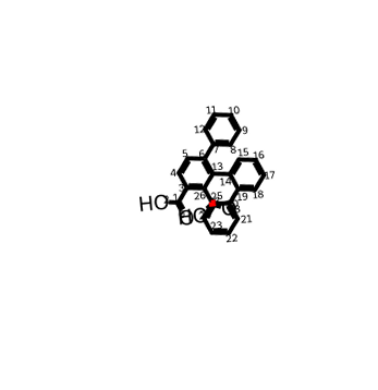 O=C(O)c1ccc(-c2ccccc2)c(-c2ccccc2-c2ccccc2)c1C(=O)O